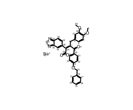 COc1ccc(CC(C(=O)c2ccc(OCc3ccccc3)cc2)=C(C(=O)[O-])c2ccc3nsnc3c2)cc1OC.[Na+]